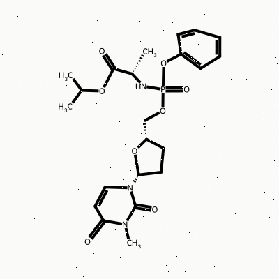 CC(C)OC(=O)[C@H](C)NP(=O)(OC[C@@H]1CC[C@H](n2ccc(=O)n(C)c2=O)O1)Oc1ccccc1